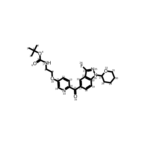 CC(C)(C)OC(=O)NCCOc1ccc(C(=O)c2ccc3c(c2)c(F)nn3C2CCCCO2)nc1